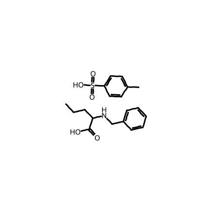 CCCC(NCc1ccccc1)C(=O)O.Cc1ccc(S(=O)(=O)O)cc1